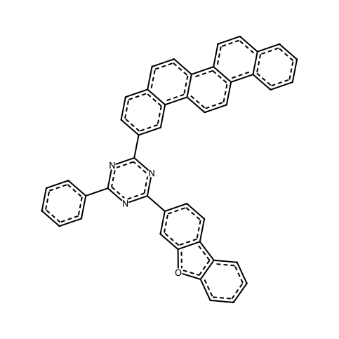 c1ccc(-c2nc(-c3ccc4c(c3)oc3ccccc34)nc(-c3ccc4ccc5c(ccc6c7ccccc7ccc65)c4c3)n2)cc1